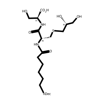 CCCCCCCCCCCCCCCC(=O)N[C@@H](CSC[C@H](O)CO)C(=O)N[C@@H](CO)C(=O)O